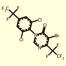 O=c1c(Br)c(C(F)(F)C(F)(F)F)ncn1-c1c(Cl)cc(C(F)(F)C(F)(F)F)cc1Cl